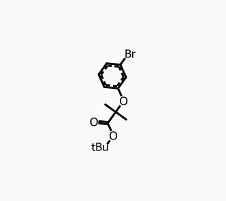 CC(C)(C)OC(=O)C(C)(C)Oc1cccc(Br)c1